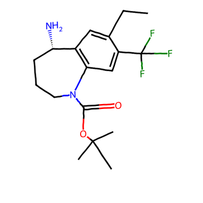 CCc1cc2c(cc1C(F)(F)F)N(C(=O)OC(C)(C)C)CCC[C@@H]2N